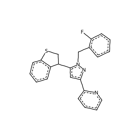 Fc1ccccc1Cn1nc(-c2ccccn2)cc1C1CSc2ccccc21